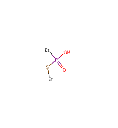 CCSP(=O)(O)CC